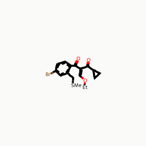 CCOC=C(C(=O)c1ccc(Br)cc1CSC)C(=O)C1CC1